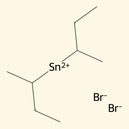 CC[CH](C)[Sn+2][CH](C)CC.[Br-].[Br-]